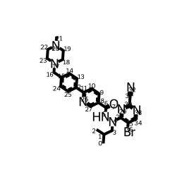 CC(C)CN(NC(=O)c1ccc(-c2ccc(CN3CCN(C)CC3)cc2)nc1)c1nc(C#N)ncc1Br